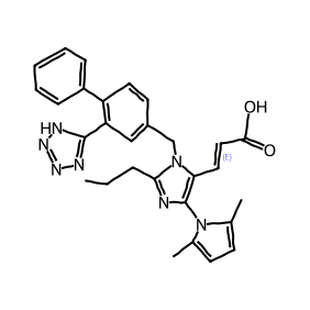 CCCc1nc(-n2c(C)ccc2C)c(/C=C/C(=O)O)n1Cc1ccc(-c2ccccc2)c(-c2nnn[nH]2)c1